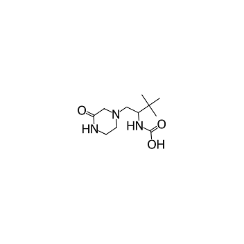 CC(C)(C)C(CN1CCNC(=O)C1)NC(=O)O